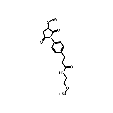 CCCCOCCNC(=O)CCc1ccc(N2C(=O)CC(SC(C)C)C2=O)cc1